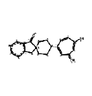 C=C1C=C(S)C=CC([C@H]2CC[C@@]3(CC2)Cc2ccccc2C3=O)=C1